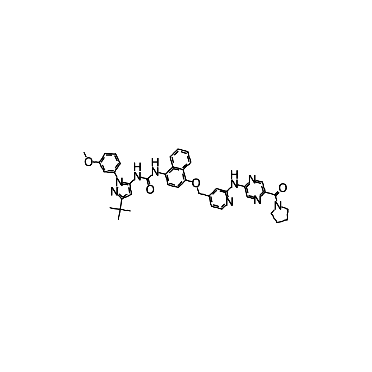 COc1cccc(-n2nc(C(C)(C)C)cc2NC(=O)Nc2ccc(OCc3ccnc(Nc4cnc(C(=O)N5CCCC5)cn4)c3)c3ccccc23)c1